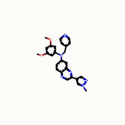 COc1cc(OC)cc(N(Cc2ccncc2)c2ccc3ncc(-c4cnn(C)c4)nc3c2)c1